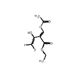 CCOC(=O)/C(=C/OC(C)=O)C(O)=C(F)F